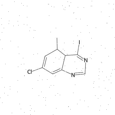 CC1C=C(Cl)C=C2N=CN=C(I)C21